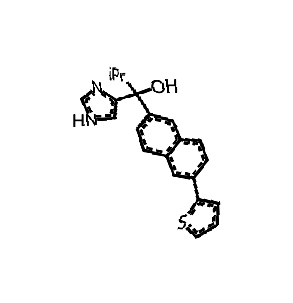 CC(C)C(O)(c1ccc2cc(-c3cccs3)ccc2c1)c1c[nH]cn1